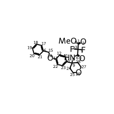 COC(=O)C(F)(F)C(=O)NC1(c2ccc(OCc3ccccc3)cc2)CCOCC1